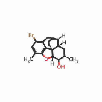 Cc1cc(Br)c2c3c1O[C@H]1C(O)[C@H](C)C[C@H]4[C@H](CCC[C@]314)C2